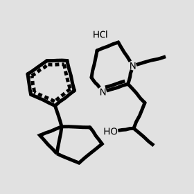 CC(O)CC1=NCCCN1C.Cl.c1ccc(C23CCCC2C3)cc1